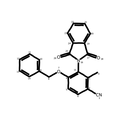 Cc1c(C#N)ccc(OCc2ccccc2)c1N1C(=O)c2ccccc2C1=O